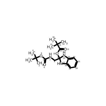 CC(C)(C)OC(=O)NCC1(OC(=O)C(C)(C)C)Nc2ccccc2N1